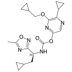 Cc1nc([C@H](CC2CC2)NC(=O)Oc2cnc(C3CC3)c(OCC3CC3)n2)no1